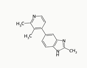 Cc1nc2cc(-c3ccnc(C)c3C)ccc2[nH]1